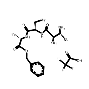 CC[C@H](N)C(O)C(=O)N[C@H](CC(C)C)C(=O)N[C@H](C(=O)OCc1ccccc1)C(C)C.O=C(O)C(F)(F)F